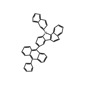 c1ccc(-c2c3ccccc3c(-c3ccc4c(c3)c3ccc5ccccc5c3n4-c3ccc4ccccc4c3)c3ccccc23)cc1